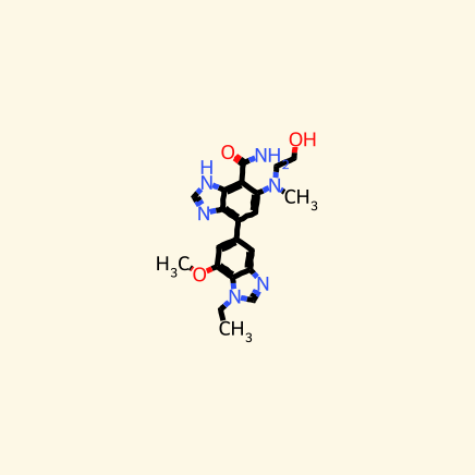 CCn1cnc2cc(-c3cc(N(C)CCO)c(C(N)=O)c4[nH]cnc34)cc(OC)c21